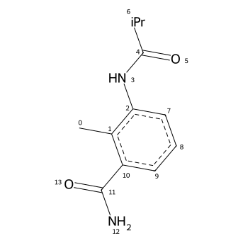 Cc1c(NC(=O)C(C)C)cccc1C(N)=O